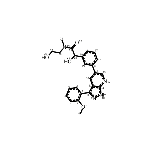 COc1ccccc1-c1n[nH]c2ncc(-c3cccc(C(O)C(=O)N(C)CCO)c3)cc12